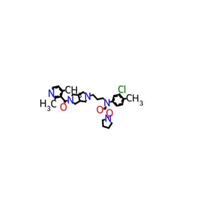 Cc1ccc(N(CCCN2CC3CN(C(=O)c4c(C)ccnc4C)CC3C2)C(=O)ON2CCCC2)cc1Cl